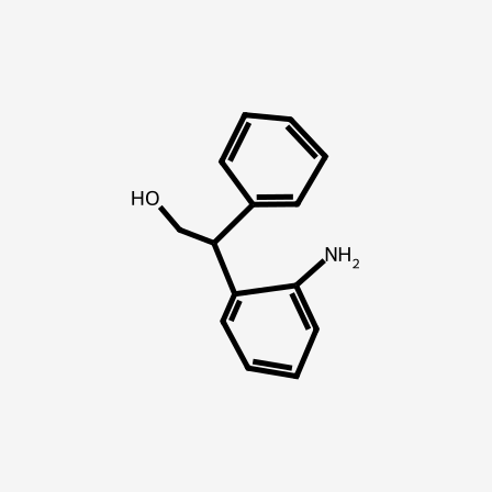 Nc1ccccc1C(CO)c1ccccc1